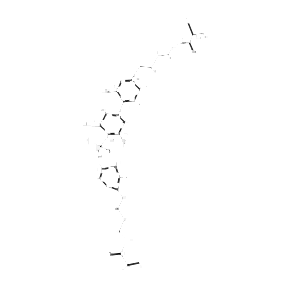 C=C(C)C(=O)OCCCCc1ccc(OC(F)(F)c2c(F)cc(-c3ccc(CCCCOC(=O)C(=C)C)cc3F)cc2F)cc1